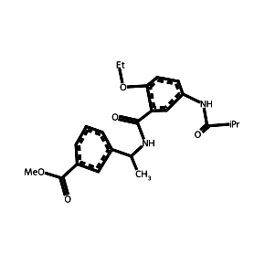 CCOc1ccc(NC(=O)C(C)C)cc1C(=O)NC(C)c1cccc(C(=O)OC)c1